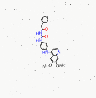 COc1cc2nccc(Nc3ccc(NC(=O)NC(=O)Cc4ccccc4)cc3)c2cc1OC